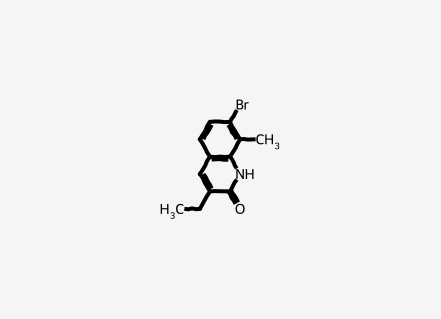 CCc1cc2ccc(Br)c(C)c2[nH]c1=O